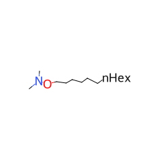 CCCCCCCCCCCCON(C)C